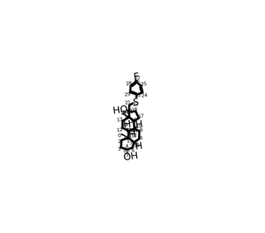 C[C@]12CC[C@@H](O)C[C@H]1CC[C@@H]1[C@@H]2CC[C@@]2(C)[C@H]1CC[C@]2(O)CSc1ccc(F)cc1